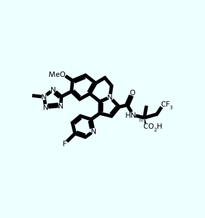 COc1cc2c(cc1-c1nnn(C)n1)-c1c(-c3ccc(F)cn3)cc(C(=O)N[C@@](C)(CC(F)(F)F)C(=O)O)n1CC2